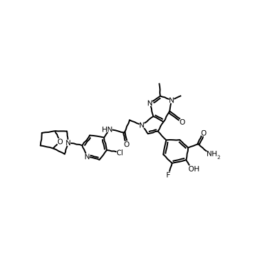 Cc1nc2c(c(-c3cc(F)c(O)c(C(N)=O)c3)cn2CC(=O)Nc2cc(N3CC4CCC(C3)O4)ncc2Cl)c(=O)n1C